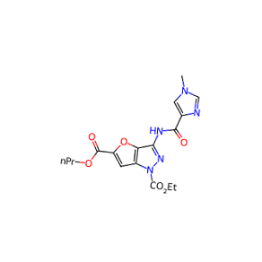 CCCOC(=O)c1cc2c(o1)c(NC(=O)c1cn(C)cn1)nn2C(=O)OCC